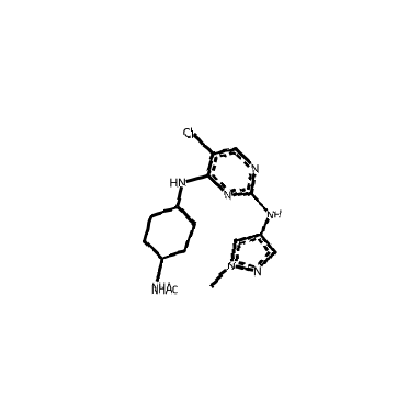 CC(=O)NC1CCC(Nc2nc(Nc3cnn(C)c3)ncc2Cl)CC1